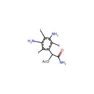 CC(=O)OC(C(N)=O)c1c(I)c(N)c(I)c(N)c1I